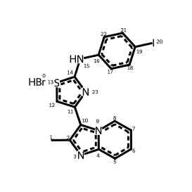 Br.Cc1nc2ccccn2c1-c1csc(Nc2ccc(I)cc2)n1